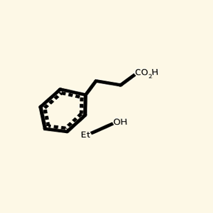 CCO.O=C(O)CCc1ccccc1